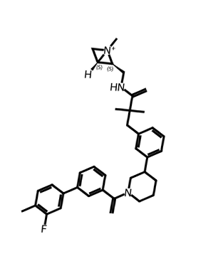 C=C(c1cccc(-c2ccc(C)c(F)c2)c1)N1CCCC(c2cccc(CC(C)(C)C(=C)NC[C@H]3[C@@H]4C[N+]34C)c2)C1